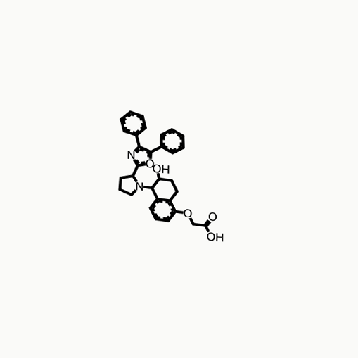 O=C(O)COc1cccc2c1CCC(O)C2N1CCCC1c1nc(-c2ccccc2)c(-c2ccccc2)o1